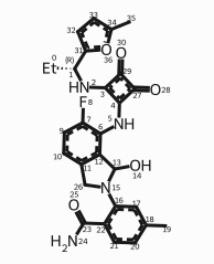 CC[C@@H](Nc1c(Nc2c(F)ccc3c2C(O)N(c2cc(C)ccc2C(N)=O)C3)c(=O)c1=O)c1ccc(C)o1